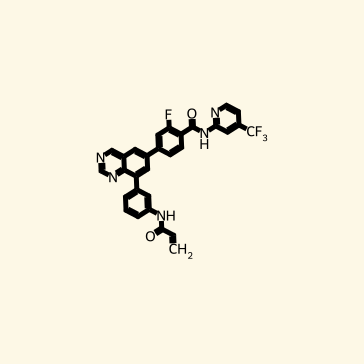 C=CC(=O)Nc1cccc(-c2cc(-c3ccc(C(=O)Nc4cc(C(F)(F)F)ccn4)c(F)c3)cc3cncnc23)c1